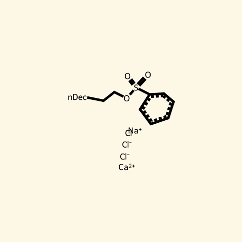 CCCCCCCCCCCCOS(=O)(=O)c1ccccc1.[Ca+2].[Cl-].[Cl-].[Cl-].[Na+]